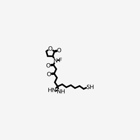 O=C(CCC1(CCCCCCS)NN1)CC(=O)N(F)C1CCOC1=O